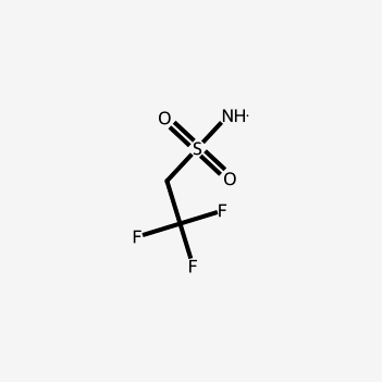 [NH]S(=O)(=O)CC(F)(F)F